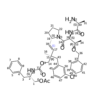 CC(=O)OC[C@H](Cc1ccccc1)NC(=O)OC[C@@](C)(/C=C/[C@@H]1CCCN1C(=O)[C@@H](NC(=O)[C@H](C)N)[C@@H](C)OCc1ccccc1)Cc1cccc(Cl)c1